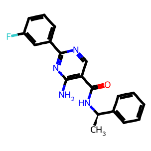 C[C@@H](NC(=O)c1cnc(-c2cccc(F)c2)nc1N)c1ccccc1